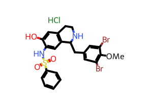 COc1c(Br)cc(CC2NCCc3cc(O)c(NS(=O)(=O)c4ccccc4)cc32)cc1Br.Cl